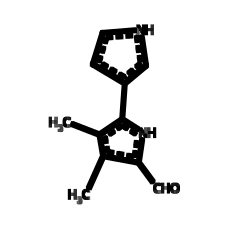 Cc1c(C=O)[nH]c(-c2cc[nH]c2)c1C